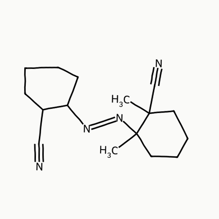 CC1(C#N)CCCCC1(C)N=NC1CCCCC1C#N